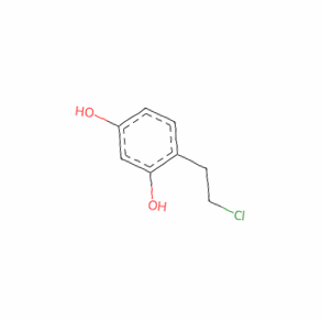 Oc1ccc(CCCl)c(O)c1